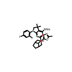 CNc1nc(NC2C3CCC2CN(c2nnc(C)o2)C3)nc2c1C(C)(C)CN2c1ccc(F)cc1F